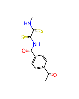 CNC(=S)C(=S)NC(=O)c1ccc(C(C)=O)cc1